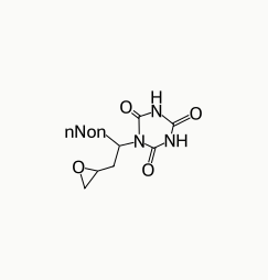 CCCCCCCCCC(CC1CO1)n1c(=O)[nH]c(=O)[nH]c1=O